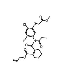 C=CCOC(=O)C1=C(C(=O)N(C(=O)CC)c2cc(SCC(=O)OC)c(Cl)cc2F)CCCC1